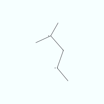 C[CH]C[C](C)C